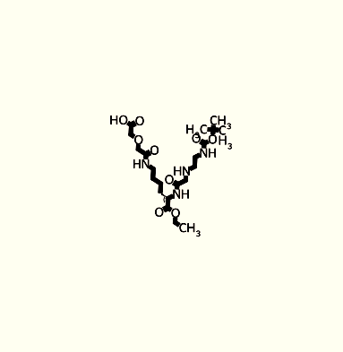 CCOC(=O)[C@H](CCCCNC(=O)COCC(=O)O)NC(=O)CNCCNC(=O)OC(C)(C)C